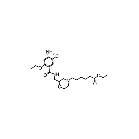 CCOC(=O)CCCCCN1CCOC(CNC(=O)c2cc(Cl)c(N)cc2OCC)C1